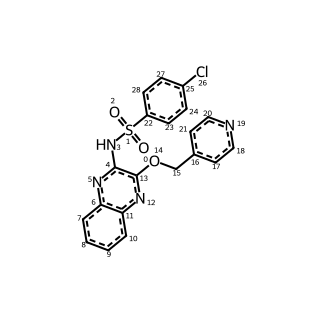 O=S(=O)(Nc1nc2ccccc2nc1OCc1ccncc1)c1ccc(Cl)cc1